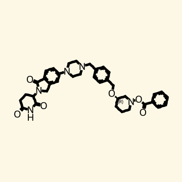 O=C1CCC(N2Cc3cc(N4CCN(Cc5ccc(CO[C@@H]6CCCN(OC(=O)c7ccccc7)C6)cc5)CC4)ccc3C2=O)C(=O)N1